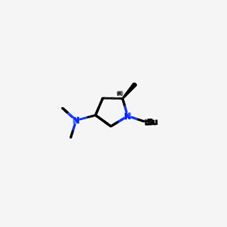 C[C@@H]1CC(N(C)C)CN1C(C)(C)C